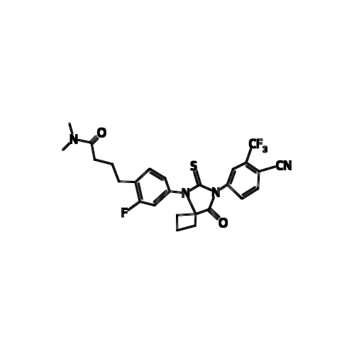 CN(C)C(=O)CCCc1ccc(N2C(=S)N(c3ccc(C#N)c(C(F)(F)F)c3)C(=O)C23CCC3)cc1F